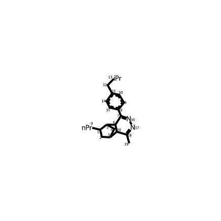 CCCC1CC2CC1C1C(c3ccc(CC(C)C)cc3)=NN=C(C)C21